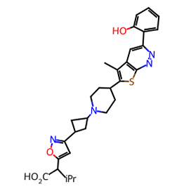 Cc1c(C2CCN(C3CC(c4cc(C(C(=O)O)C(C)C)on4)C3)CC2)sc2nnc(-c3ccccc3O)cc12